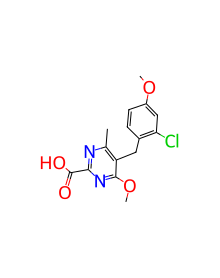 COc1ccc(Cc2c(C)nc(C(=O)O)nc2OC)c(Cl)c1